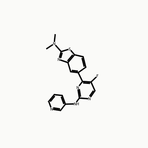 CN(C)c1nc2cc(-c3nc(Nc4cc[c]nc4)ncc3F)ccc2s1